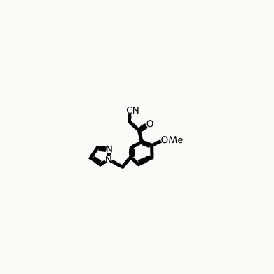 COc1ccc(Cn2cccn2)cc1C(=O)CC#N